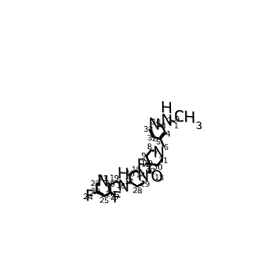 CCNc1cc(CN2CCC(F)(C(=O)N3CCC(NCc4ncc(F)cc4F)CC3)CC2)ccn1